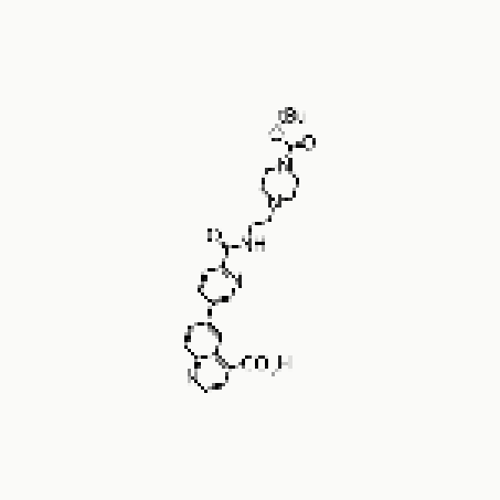 CC(C)(C)OC(=O)N1CCN(CCNC(=O)c2ccc(-c3ccc4nccc(C(=O)O)c4c3)cn2)CC1